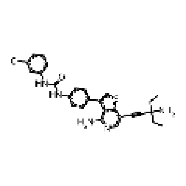 CCC(N)(C#Cc1cnc(N)c2c(-c3ccc(NC(=O)Nc4cccc(Cl)c4)cc3)csc12)CC